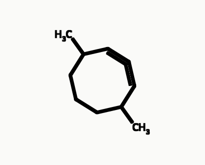 CC1C=C=CC(C)CCC1